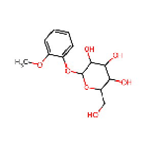 COc1ccccc1OC1OC(CO)C(O)C(O)C1O